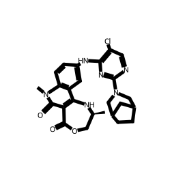 C[C@H]1COC(=O)c2c(c3cc(Nc4nc(N5CC6CCC(C6)C5)ncc4Cl)ccc3n(C)c2=O)N1